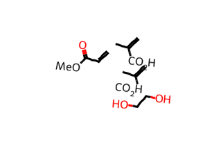 C=C(C)C(=O)O.C=C(C)C(=O)O.C=CC(=O)OC.OCCO